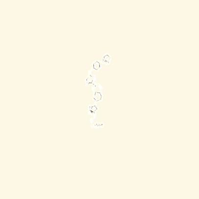 COCCn1cc(-c2ccc3c(c2)CN(c2ncc(Cc4ccc(-n5cccn5)cc4)s2)CC3)nn1